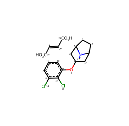 CN1C2CCC1CC(Oc1cccc(Cl)c1Cl)C2.O=C(O)/C=C/C(=O)O